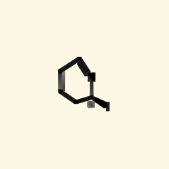 I[C@H]1CC=CC=N1